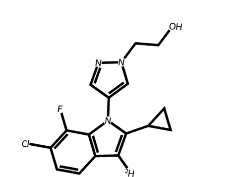 [2H]c1c(C2CC2)n(-c2cnn(CCO)c2)c2c(F)c(Cl)ccc12